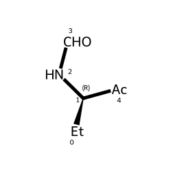 CC[C@@H](NC=O)C(C)=O